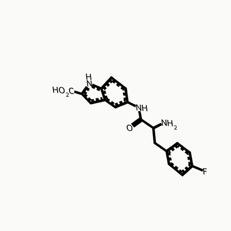 NC(Cc1ccc(F)cc1)C(=O)Nc1ccc2[nH]c(C(=O)O)cc2c1